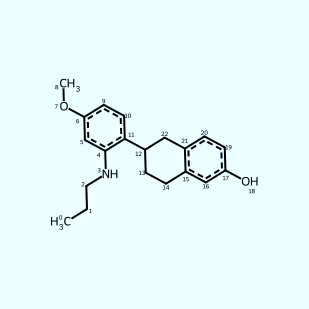 CCCNc1cc(OC)ccc1C1CCc2cc(O)ccc2C1